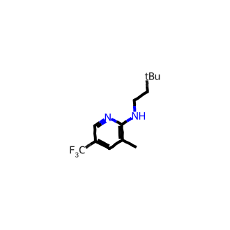 Cc1cc(C(F)(F)F)cnc1NCCC(C)(C)C